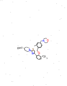 Cc1cc(CN2CCOCC2)ccc1COc1c(-c2csc(N3CCC(C=O)CC3)n2)cccc1C(F)(F)F